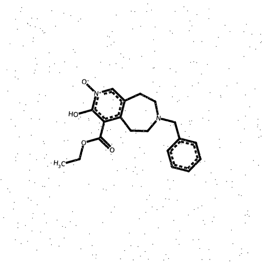 CCOC(=O)c1c2c(c[n+]([O-])c1O)CCN(Cc1ccccc1)CC2